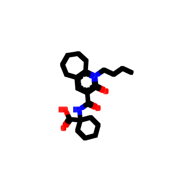 CCCCn1c2c(cc(C(=O)NC3(C(=O)O)CCCCC3)c1=O)CCCCC2